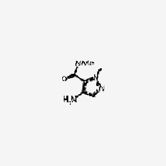 CNC(=O)c1c(N)cnn1C